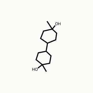 CC1(O)CCC(C2CCC(C)(O)CC2)CC1